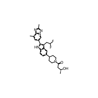 Cc1nc2c(C)cc(-c3[nH]c4ccc(C5CCN(C(=O)C[C@H](C)O)CC5)cc4c3CC(F)F)cn2n1